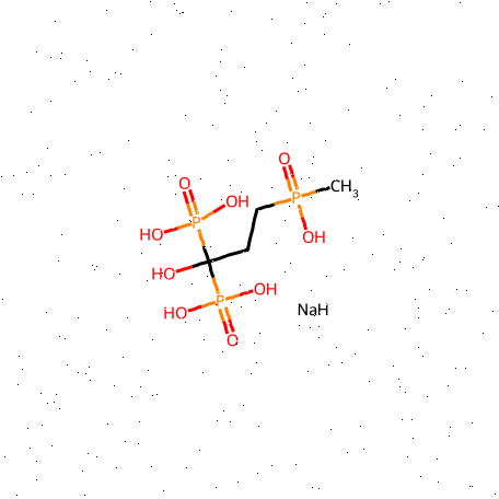 CP(=O)(O)CCC(O)(P(=O)(O)O)P(=O)(O)O.[NaH]